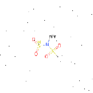 CCCN([SH](=O)=O)S(C)(=O)=O